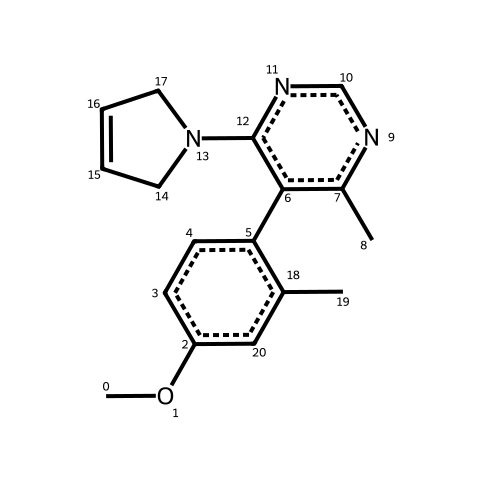 COc1ccc(-c2c(C)ncnc2N2CC=CC2)c(C)c1